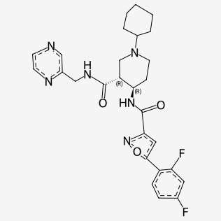 O=C(N[C@@H]1CCN(C2CCCCC2)C[C@H]1C(=O)NCc1cnccn1)c1cc(-c2ccc(F)cc2F)on1